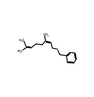 CC(C)=CCCC(C)=CCSCc1ccccc1